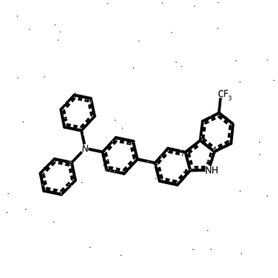 FC(F)(F)c1ccc2[nH]c3ccc(-c4ccc(N(c5ccccc5)c5ccccc5)cc4)cc3c2c1